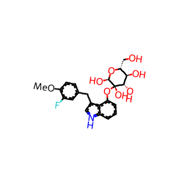 COc1ccc(Cc2c[nH]c3cccc(O[C@]4(O)[C@@H](O)O[C@H](CO)[C@@H](O)[C@@H]4O)c23)cc1F